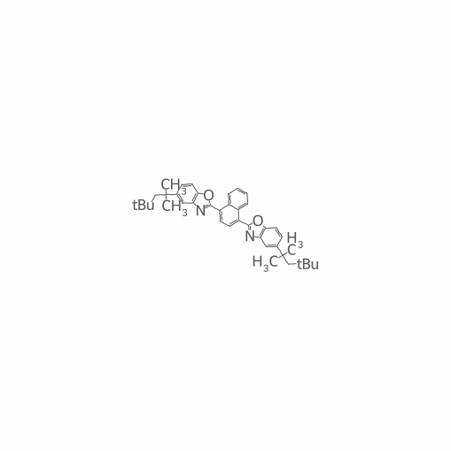 CC(C)(C)CC(C)(C)c1ccc2oc(-c3ccc(-c4nc5cc(C(C)(C)CC(C)(C)C)ccc5o4)c4ccccc34)nc2c1